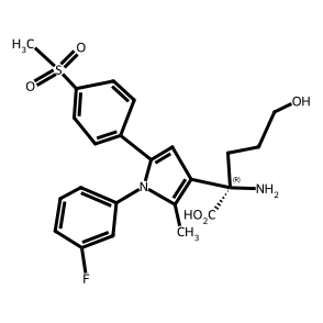 Cc1c([C@](N)(CCCO)C(=O)O)cc(-c2ccc(S(C)(=O)=O)cc2)n1-c1cccc(F)c1